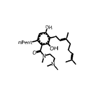 CCCCCc1cc(O)c(C/C=C(\C)CCC=C(C)C)c(O)c1C(=O)N(C)CCN(C)C